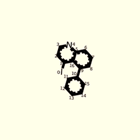 Ic1ccnc2cccc(-c3ccccc3)c12